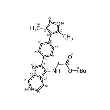 CCCCOC(=O)CNc1c(-c2ccc(-c3c(C)noc3C)cc2)nc2cnccn12